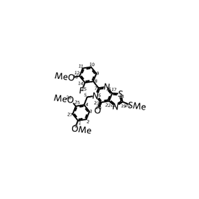 COc1ccc(Cn2c(-c3cccc(OC)c3F)nc3sc(SC)nc3c2=O)c(OC)c1